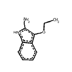 CCOc1c(N)[nH]c2ccccc12